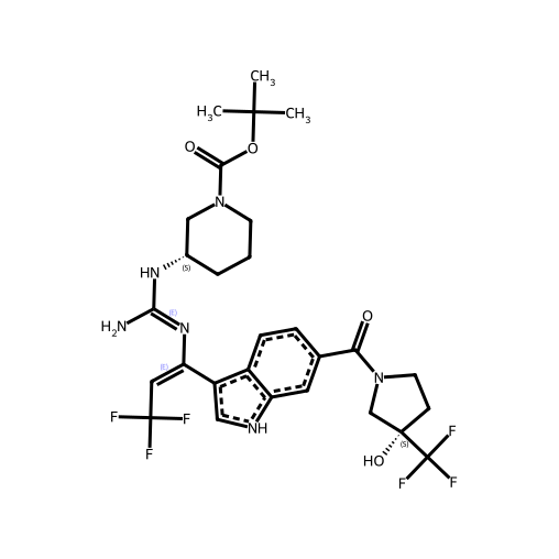 CC(C)(C)OC(=O)N1CCC[C@H](N/C(N)=N/C(=C/C(F)(F)F)c2c[nH]c3cc(C(=O)N4CC[C@@](O)(C(F)(F)F)C4)ccc23)C1